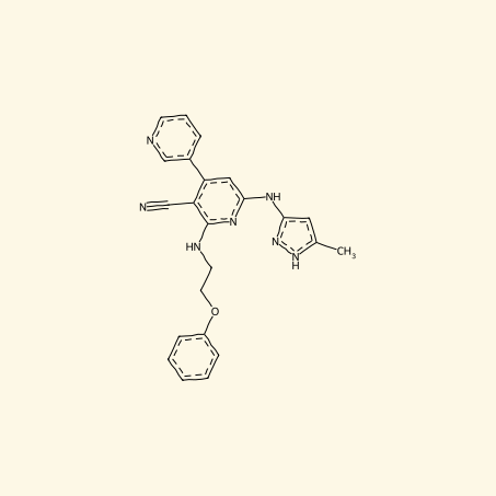 Cc1cc(Nc2cc(-c3cccnc3)c(C#N)c(NCCOc3ccccc3)n2)n[nH]1